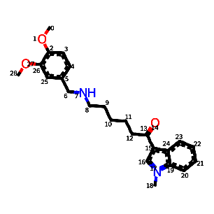 COc1ccc(CNCCCCCC(=O)c2cn(C)c3ccccc23)cc1OC